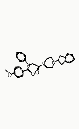 COc1ccc(C(=O)N(CC(=O)N2CCN(C3Cc4ccccc4C3)CC2)c2ccccc2)cc1